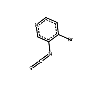 S=C=Nc1cnccc1Br